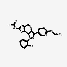 CCNC1=NC=C(C2=NN(C3=CCCC=C3Br)C3c4sc(NC(C)=O)nc4COC23)CC1